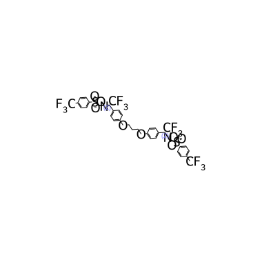 O=S(=O)(O/N=C(/c1ccc(OCCCOc2ccc(/C(=N/OS(=O)(=O)c3ccc(C(F)(F)F)cc3)C(F)(F)F)cc2)cc1)C(F)(F)F)c1ccc(C(F)(F)F)cc1